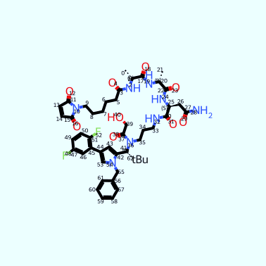 C[C@@H](NC(=O)CCCCCN1C(=O)C=CC1=O)C(=O)N[C@H](C)C(=O)N[C@@H](CC(N)=O)C(=O)NCCCN(C(=O)CO)[C@@H](c1cc(-c2cc(F)ccc2F)cn1Cc1ccccc1)C(C)(C)C